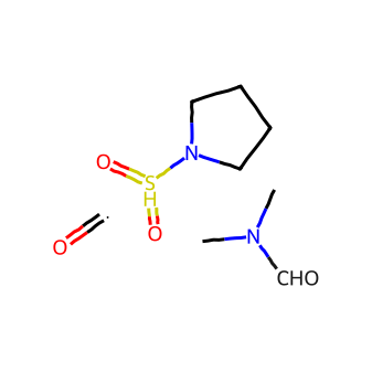 CN(C)C=O.O=[SH](=O)N1CCCC1.[CH]=O